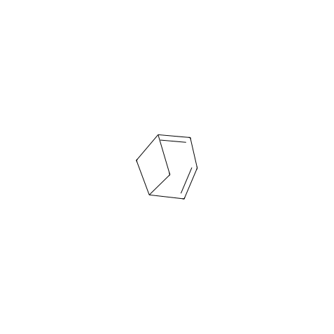 C1=CC2CC(=C1)C2